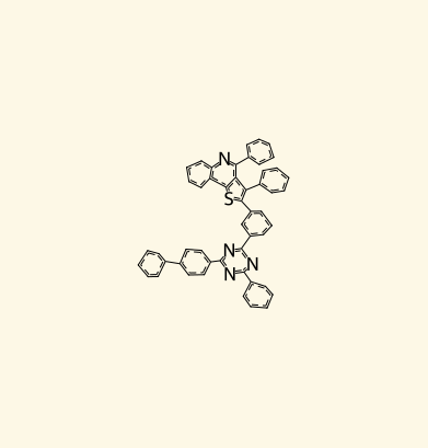 c1ccc(-c2ccc(-c3nc(-c4ccccc4)nc(-c4cccc(-c5sc6c(c(-c7ccccc7)nc7ccccc76)c5-c5ccccc5)c4)n3)cc2)cc1